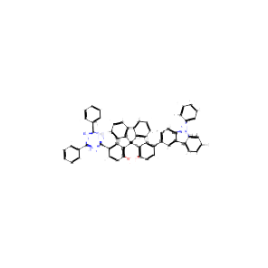 c1ccc(-c2nc(-c3ccccc3)nc(-c3ccc4c(c3)C(c3ccccc3)(c3ccccc3)c3cc(-c5ccc6c(c5)c5ccccc5n6-c5ccccc5)ccc3O4)n2)cc1